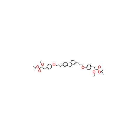 CCO[C@@H](Cc1ccc(OCCCc2ccc3c(c2)Cc2cc(CCCOc4ccc(C[C@H](OCC)C(=O)OC(C)C)cc4)ccc2-3)cc1)C(=O)OC(C)C